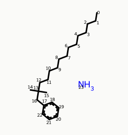 CCCCCCCCCCCCCC(C)(C)Cc1ccccc1.N